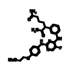 COCCOc1ccc(Nc2ncc(F)c(Nc3cccc(C(CCCC(N)=O)C(N)=O)c3)n2)cc1